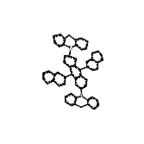 c1ccc2c(c1)Cc1ccccc1N2c1ccc2c(-c3ccc4ccccc4c3)c3cc(N4c5ccccc5Cc5ccccc54)ccc3c(-c3ccc4ccccc4c3)c2c1